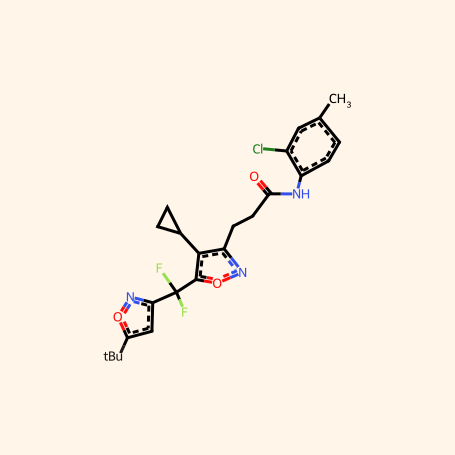 Cc1ccc(NC(=O)CCc2noc(C(F)(F)c3cc(C(C)(C)C)on3)c2C2CC2)c(Cl)c1